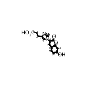 O=C(O)CCc1cn(-c2cc3ccc(O)cc3oc2=O)nn1